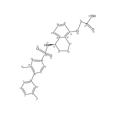 Cc1cccc(-c2ccc(S(=O)(=O)N[C@@H]3CCCc4c(OCC(=O)O)cccc43)cc2C)c1